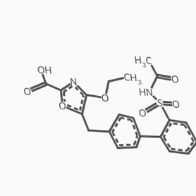 CCOc1nc(C(=O)O)oc1Cc1ccc(-c2ccccc2S(=O)(=O)NC(C)=O)cc1